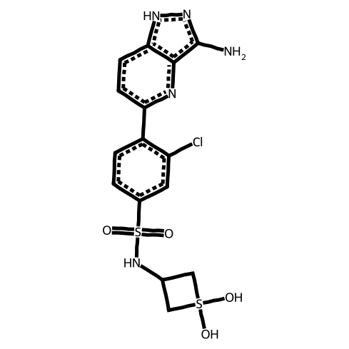 Nc1n[nH]c2ccc(-c3ccc(S(=O)(=O)NC4CS(O)(O)C4)cc3Cl)nc12